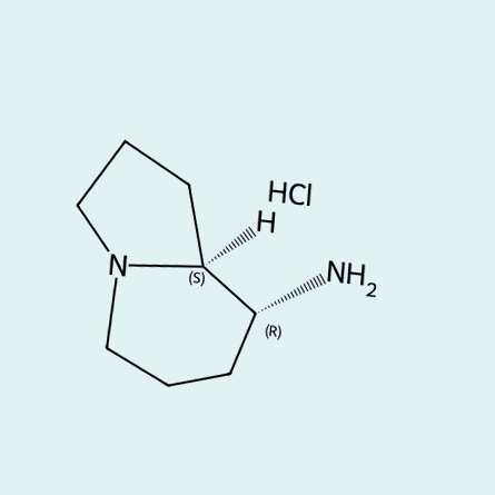 Cl.N[C@@H]1CCCN2CCC[C@@H]12